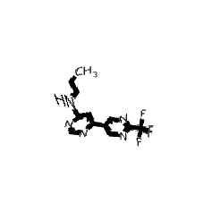 CCCNc1cc(-c2cnc(C(F)(F)F)nc2)ncn1